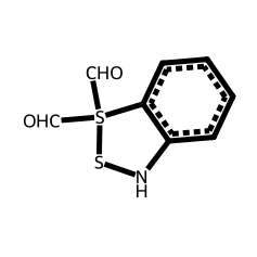 O=CS1(C=O)SNc2ccccc21